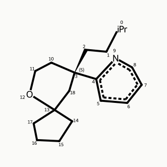 CC(C)CC[C@]1(c2ccccn2)CCOC2(CCCC2)C1